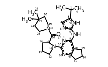 CC(C)c1cnc(Nc2nc(N3CCCC3C(=O)N3CCC(C)(C)CC3)nc3c2CCC3)[nH]1